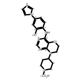 O=C(O)N1CCC(N2CCOc3c(Nc4ccc(-n5ccnc5)cc4Cl)ncnc32)CC1